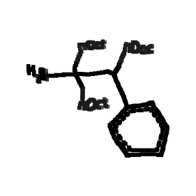 CCCCCCCCCCC(c1ccccc1)C([SiH3])(CCCCCCCC)CCCCCCCC